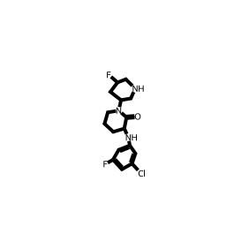 O=C1C(Nc2cc(F)cc(Cl)c2)CCCN1C1CNCC(F)C1